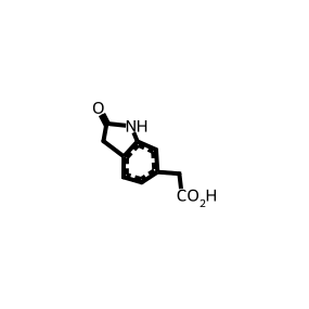 O=C(O)Cc1ccc2c(c1)NC(=O)C2